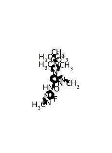 CCn1cc2c(N3CC(C)N(C(=O)OC(C)(C)C)C(C)C3)ccc(C(=O)Nc3cc(F)c4nc(C)cn4c3)c2n1